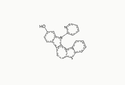 Oc1ccc2c3ccc4sc5ccccc5c4c3n(-c3ccccn3)c2c1